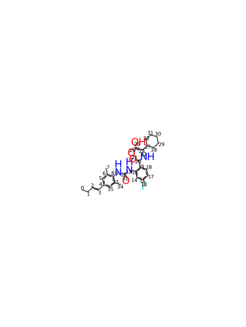 CC/C=C/c1cc(C)c(NC(=O)Nc2cc(F)ccc2C(=O)N[C@H](C(=O)O)C2CCCCC2)c(C)c1